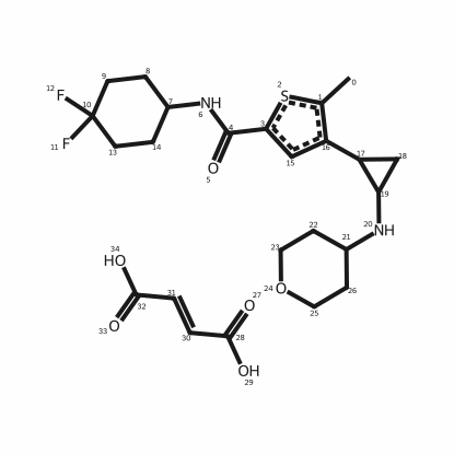 Cc1sc(C(=O)NC2CCC(F)(F)CC2)cc1C1CC1NC1CCOCC1.O=C(O)/C=C/C(=O)O